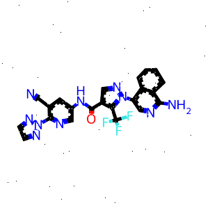 N#Cc1cc(NC(=O)c2cnn(-c3cnc(N)c4ccccc34)c2C(F)(F)F)cnc1-n1nccn1